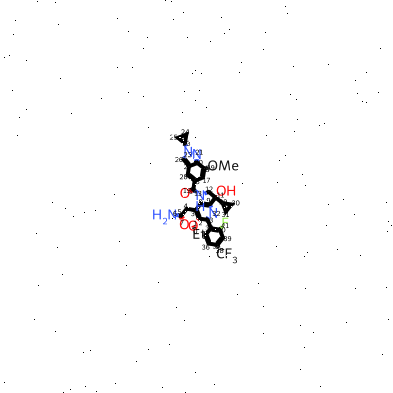 CCOc1c(CC(N)=O)cc([C@@](O)(CNC(=O)c2cc(OC)c3nn(C4CC4)cc3c2)C2CC2)nc1-c1ccc(C(F)(F)F)cc1F